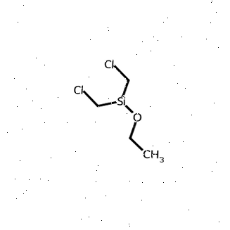 CCO[Si](CCl)CCl